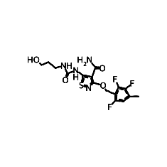 Cc1cc(F)c(COc2nsc(NC(=O)NCCCO)c2C(N)=O)c(F)c1F